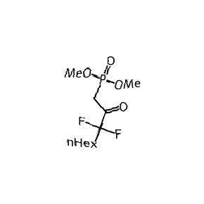 CCCCCCC(F)(F)C(=O)CP(=O)(OC)OC